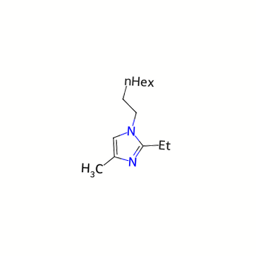 CCCCCCCCn1cc(C)nc1CC